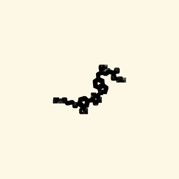 COCCOc1ccc(-c2nc(N3CCc4cc(CN(C)CCC(=O)OC(C)(C)C)ccc43)no2)cc1C#N